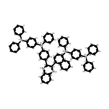 c1ccc(N(c2ccccc2)c2ccc(N(c3ccccc3)c3ccc(-c4nc5ccccc5nc4-c4ccc(N(c5ccccc5)c5ccc(N(c6ccccc6)c6ccccc6)cc5)c5ccccc45)cc3)cc2)cc1